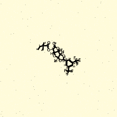 CCC(C)(C)C(=O)O[C@@H]1C(=O)O[C@@H]2[C@H]3OC(c4cc(C(F)(F)F)cc(C(F)(F)F)c4)O[C@H]3O[C@@H]21